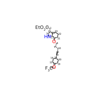 CCOC(=O)Cc1c[nH]c2c(OCCCC#Cc3ccc(OC(F)(F)F)cc3)cccc12